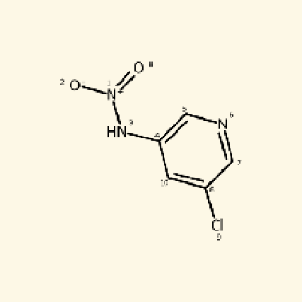 O=[N+]([O-])Nc1cncc(Cl)c1